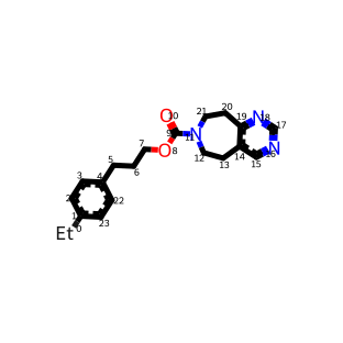 CCc1ccc(CCCOC(=O)N2CCc3cncnc3CC2)cc1